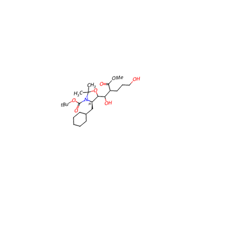 COC(=O)C(CCCO)C(O)C1OC(C)(C)N(C(=O)OC(C)(C)C)[C@@H]1CC1CCCCC1